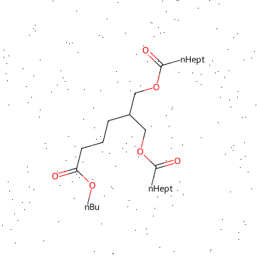 CCCCCCCC(=O)OCC(CCCC(=O)OCCCC)COC(=O)CCCCCCC